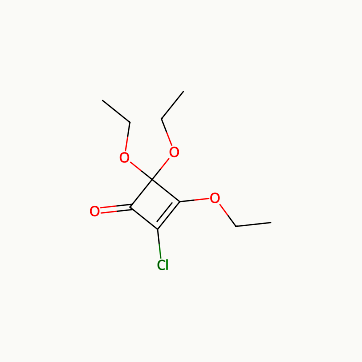 CCOC1=C(Cl)C(=O)C1(OCC)OCC